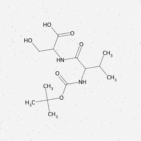 CC(C)C(NC(=O)OC(C)(C)C)C(=O)NC(CO)C(=O)O